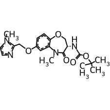 CN1C(=O)[C@@H](NC(=O)OC(C)(C)C)COc2ccc(OCc3nccn3C)cc21